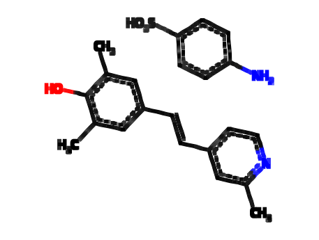 Cc1cc(C=Cc2cc(C)c(O)c(C)c2)ccn1.Nc1ccc(S(=O)(=O)O)cc1